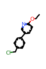 CCOc1ccc(-c2ccc(CCl)cc2)cn1